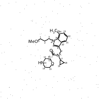 COCCCn1cc(CN(C(=O)[C@H]2CNCCO2)C2CC2)c2cccc(C)c21